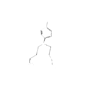 CCCC[S+](CCCC)c1ccc(O)cc1